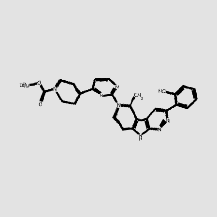 C[C@H]1c2c([nH]c3nnc(-c4ccccc4O)cc23)CCN1c1nccc(C2CCN(C(=O)OC(C)(C)C)CC2)n1